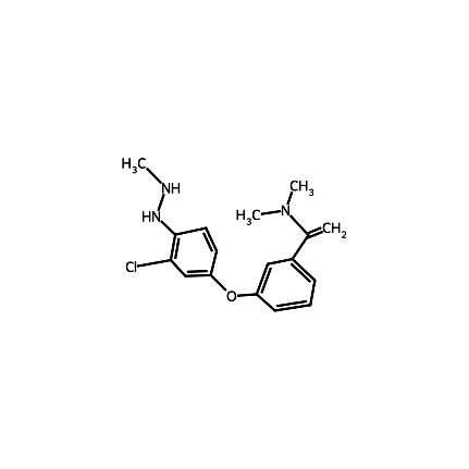 C=C(c1cccc(Oc2ccc(NNC)c(Cl)c2)c1)N(C)C